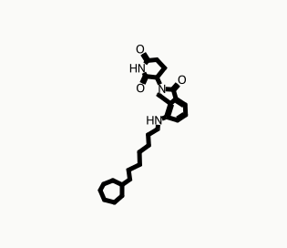 O=C1CCC(N2Cc3c(NCCCCCCCC4CCCCCC4)cccc3C2=O)C(=O)N1